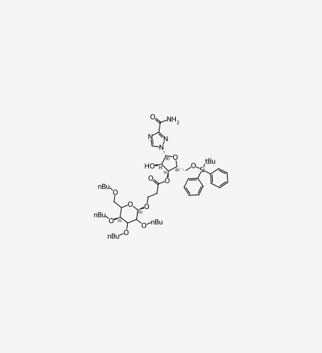 CCCCOCC1O[C@@H](OCCC(=O)O[C@H]2[C@@H](O)[C@H](n3cnc(C(N)=O)n3)O[C@@H]2CO[Si](c2ccccc2)(c2ccccc2)C(C)(C)C)C(OCCCC)C(OCCCC)[C@H]1OCCCC